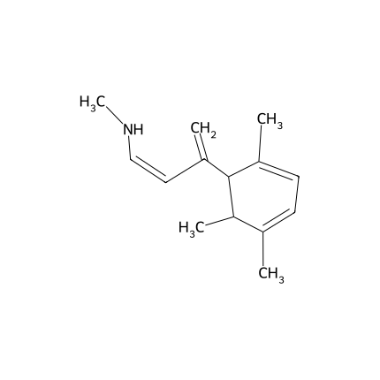 C=C(/C=C\NC)C1C(C)=CC=C(C)C1C